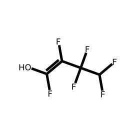 OC(F)=C(F)C(F)(F)C(F)F